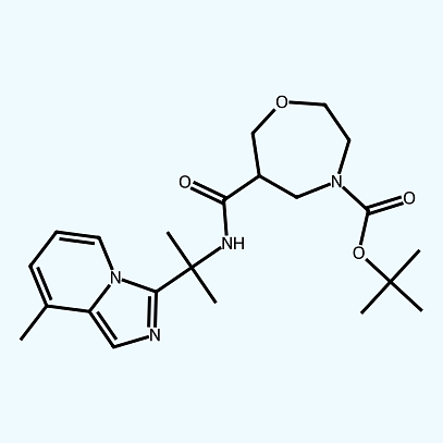 Cc1cccn2c(C(C)(C)NC(=O)C3COCCN(C(=O)OC(C)(C)C)C3)ncc12